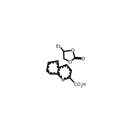 CCC1COC(=O)O1.O=C(O)c1ccc2ccccc2n1